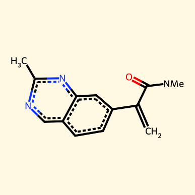 C=C(C(=O)NC)c1ccc2cnc(C)nc2c1